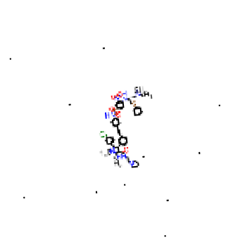 Cc1c(C(=O)NCCN2CCCC2)c(-c2cccc(C#Cc3ccc(NS(=O)(=O)c4ccc(N[C@H](CCN(C)C)CSc5ccccc5)c([N+](=O)[O-])c4)cc3)c2)c(-c2ccc(Cl)cc2)n1C